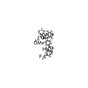 COCC=CC(=O)N1CCCC[C@H]1c1nc(-c2ccc(C(=O)Nc3cc(C(F)(F)F)ccn3)cc2)c2c(C)nccn12